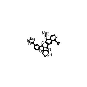 CCOc1cc(C(=O)[C@@H]2C(=O)c3cc(-c4nnn[n-]4)ccc3OC23CCNCC3)cc2c(C3CC3)nccc12.[Na+]